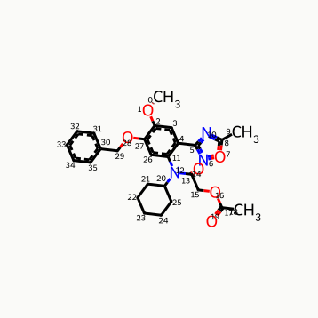 COc1cc(-c2noc(C)n2)c(N(C(=O)COC(C)=O)C2CCCCC2)cc1OCc1ccccc1